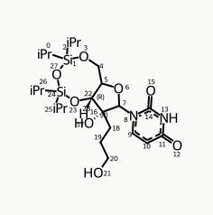 CC(C)[Si]1(C(C)C)OCC2OC(n3ccc(=O)[nH]c3=O)[C@@](O)(CCCO)[C@@H]2O[Si](C(C)C)(C(C)C)O1